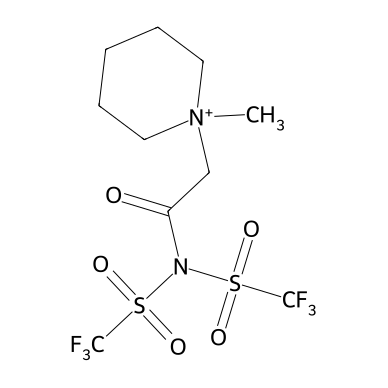 C[N+]1(CC(=O)N(S(=O)(=O)C(F)(F)F)S(=O)(=O)C(F)(F)F)CCCCC1